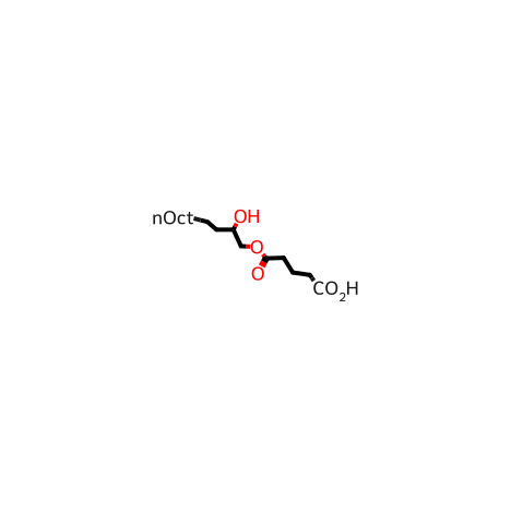 CCCCCCCCCCC(O)COC(=O)CCCC(=O)O